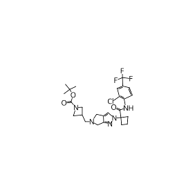 CC(C)(C)OC(=O)N1CC(CN2Cc3cn(C4(C(=O)Nc5ccc(C(F)(F)F)cc5Cl)CCC4)nc3C2)C1